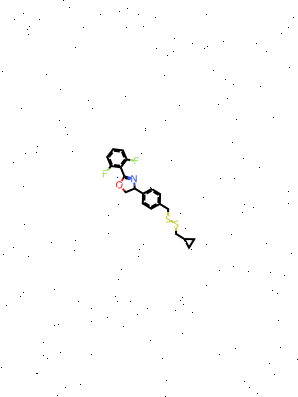 Fc1cccc(F)c1C1=NC(c2ccc(CSSCC3CC3)cc2)CO1